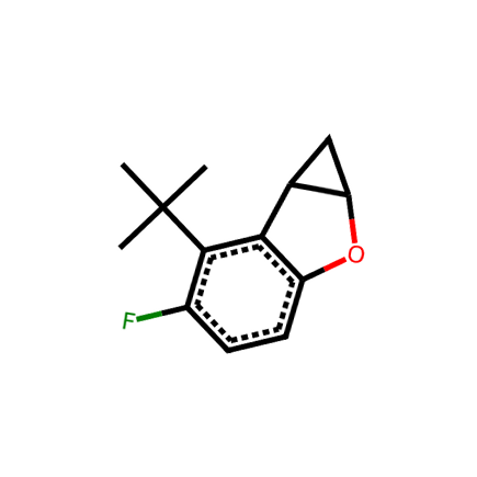 CC(C)(C)c1c(F)ccc2c1C1CC1O2